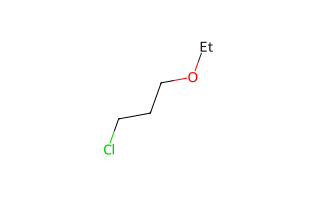 CCOCCCCl